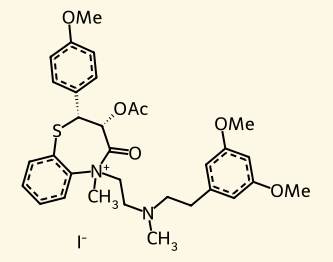 COc1ccc([C@H]2Sc3ccccc3[N+](C)(CCN(C)CCc3cc(OC)cc(OC)c3)C(=O)[C@H]2OC(C)=O)cc1.[I-]